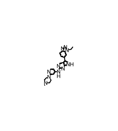 CCn1nnc2ccc(-c3c[nH]c4nc(Nc5ccnc(N6CCN(C)CC6)c5)ncc34)cc21